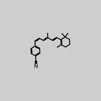 CC1=C(/C=C/C(C)=C/C=C\c2ccc(C#N)cc2)C(C)(C)CCC1